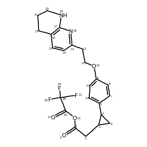 O=C(CC1CC1c1ccc(OCCc2ccc3c(n2)NCCC3)cc1)OC(=O)C(F)(F)F